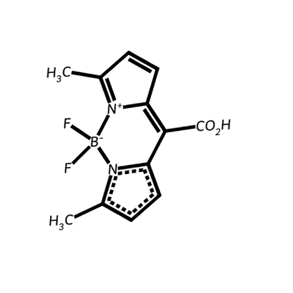 CC1=[N+]2C(=C(C(=O)O)c3ccc(C)n3[B-]2(F)F)C=C1